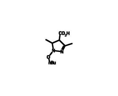 CCCCON1N=C(C)C(C(=O)O)C1C